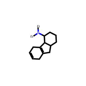 CCN(CC)C1CCCC2CC3=C(CC=CC3)C21